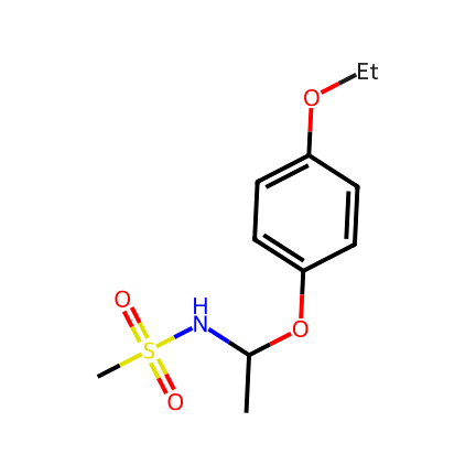 CCOc1ccc(OC(C)NS(C)(=O)=O)cc1